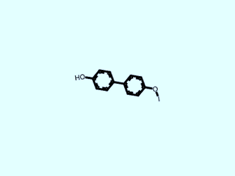 Oc1ccc(-c2ccc(OI)cc2)cc1